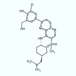 CN(C)C[C@H]1CC[C@H](Nc2c(S(C)(=O)=O)cnc3ccc(-c4cc(Cl)c(O)c(CO)c4)nc23)CC1